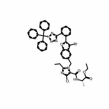 CCOC(=O)[C@H](C)NC(=O)c1c(Cl)nc(CC)n1Cc1ccc2oc(-c3ccccc3-c3nnn(C(c4ccccc4)(c4ccccc4)c4ccccc4)n3)c(Br)c2c1